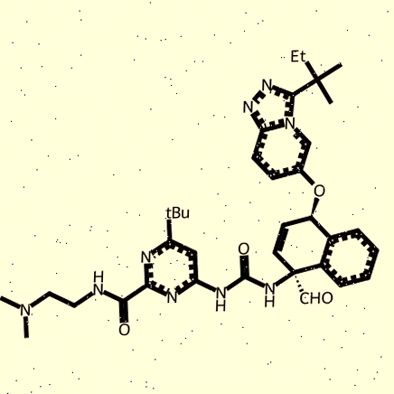 CCC(C)(C)c1nnc2ccc(O[C@@H]3C=C[C@](C=O)(NC(=O)Nc4cc(C(C)(C)C)nc(C(=O)NCCN(C)C)n4)c4ccccc43)cn12